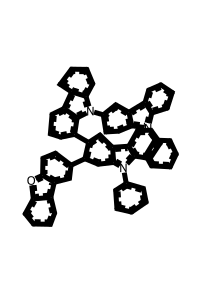 c1ccc(-n2c3ccccc3c3cc(-n4c5ccccc5c5cccc(-c6cc7c8ccccc8n(-c8ccccc8)c7cc6-c6ccc7oc8ccccc8c7c6)c54)ccc32)cc1